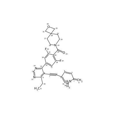 C=C(N)/C=C\C(C#Cc1c(CC)ncnc1-c1cc(F)c(C(=O)N2CCC3(CC2)COC3)c(F)c1)=C/N